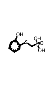 O=P(O)(O)CSc1ccccc1O